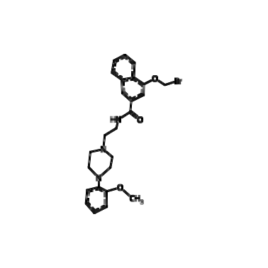 COc1ccccc1N1CCN(CCNC(=O)c2cc(OCBr)c3ccccc3c2)CC1